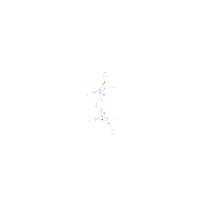 COc1cc2c(NC3CCN(CC(O)C(CO)N4CCC(Nc5nc(N(C)C)nc6cc(C#CCCN7CCCC7)c(OC)cc56)CC4)CC3)nc(N(C)C)nc2cc1C#CCCN1CCCC1